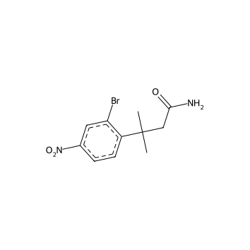 CC(C)(CC(N)=O)c1ccc([N+](=O)[O-])cc1Br